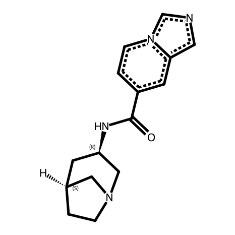 O=C(N[C@@H]1C[C@@H]2CCN(C2)C1)c1ccn2cncc2c1